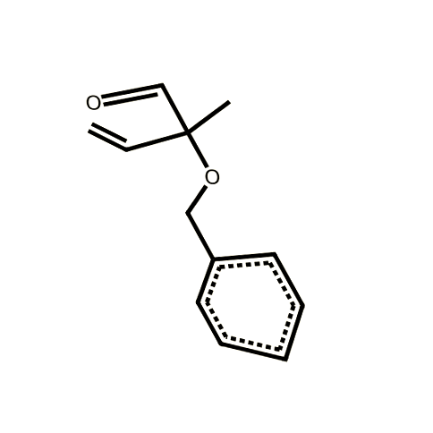 C=CC(C)(C=O)OCc1ccccc1